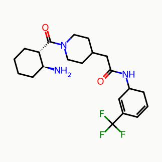 N[C@H]1CCCC[C@@H]1C(=O)N1CCC(CC(=O)NC2C=C(C(F)(F)F)C=CC2)CC1